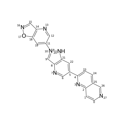 c1cc2nc(-c3cnc4c[n+](-c5cnc6cnoc6c5)[nH]c4c3)ccc2cn1